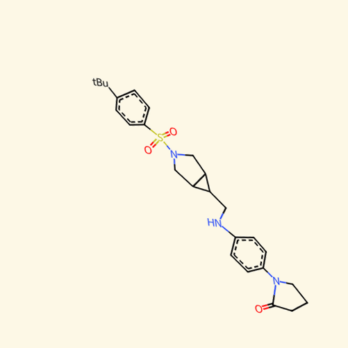 CC(C)(C)c1ccc(S(=O)(=O)N2CC3C(CNc4ccc(N5CCCC5=O)cc4)C3C2)cc1